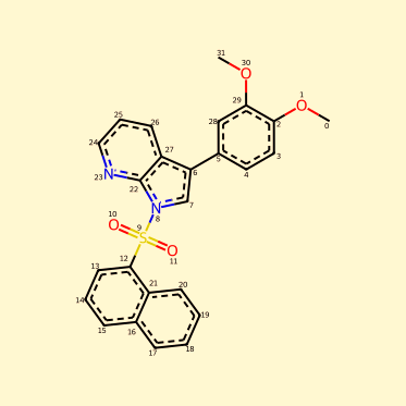 COc1ccc(-c2cn(S(=O)(=O)c3cccc4ccccc34)c3ncccc23)cc1OC